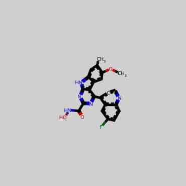 COc1cc2c(cc1C)[nH]c1nc(C(=O)NO)nc(-c3ccnc4ccc(F)cc34)c12